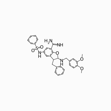 COc1ccc(CNC2Oc3c(C(=N)N)cc(NS(=O)(=O)c4ccccc4)cc3C2Cc2ccccc2)cc1OC